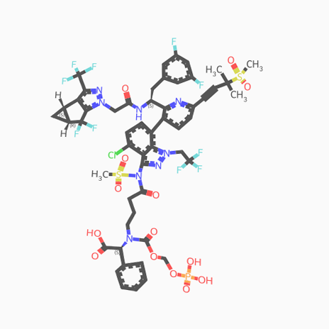 CC(C)(C#Cc1ccc(-c2ccc(Cl)c3c(N(C(=O)CCCN(C(=O)OCOP(=O)(O)O)[C@H](C(=O)O)c4ccccc4)S(C)(=O)=O)nn(CC(F)(F)F)c23)c([C@H](Cc2cc(F)cc(F)c2)NC(=O)Cn2nc(C(F)(F)F)c3c2C(F)(F)[C@@H]2C[C@H]32)n1)S(C)(=O)=O